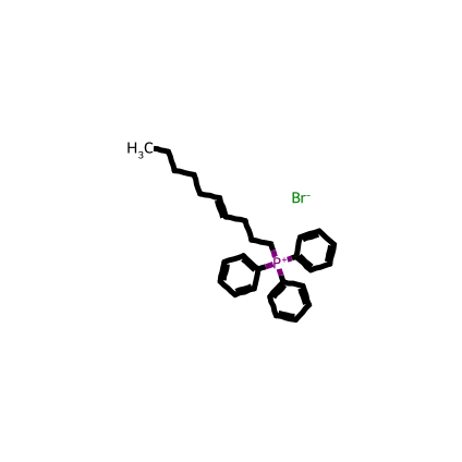 CCCCCC=CCCC[P+](c1ccccc1)(c1ccccc1)c1ccccc1.[Br-]